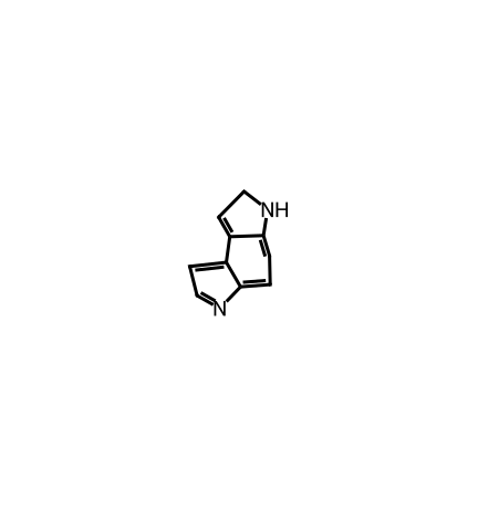 C1=Nc2ccc3c(c2=C1)=CCN3